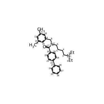 CCN(CC)CCCCN(Cc1cc(C)cc(C)c1)C(=O)c1ccc(-c2ccccc2)cc1